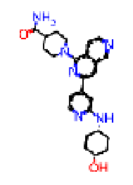 NC(=O)C1CCN(c2nc(-c3ccnc(N[C@H]4CC[C@H](O)CC4)c3)cc3cnccc23)CC1